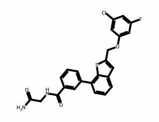 NC(=O)CNC(=O)c1cccc(-c2cccc3cc(COc4cc(F)cc(Cl)c4)sc23)c1